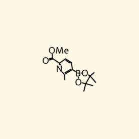 COC(=O)c1ccc(B2OC(C)(C)C(C)(C)O2)c(C)n1